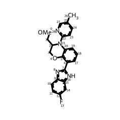 COCC1COc2c(-c3nc4ccc(F)cc4[nH]3)cccc2N1c1ccc(C)cn1